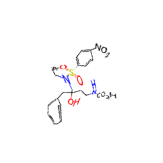 CC(C)CN(C(O)(CCNC(=O)O)Cc1ccccc1)S(=O)(=O)c1ccc([N+](=O)[O-])cc1